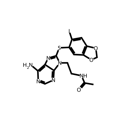 CC(=O)NCCn1c(Sc2cc3c(cc2I)OCO3)nc2c(N)ncnc21